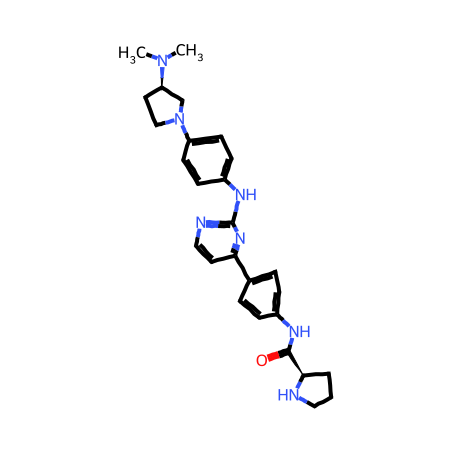 CN(C)[C@@H]1CCN(c2ccc(Nc3nccc(-c4ccc(NC(=O)[C@H]5CCCN5)cc4)n3)cc2)C1